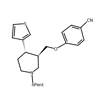 CCCCCN1CC[C@H](c2ccsc2)[C@@H](COc2ccc(C#N)cc2)C1